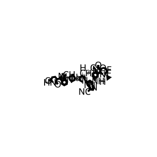 C[C@@H]1CN(c2cc(Nc3ccc4c(c3)c3c(c(=O)n4C)OCC(F)(F)[C@H](C4CC4)N3)n3ncc(C#N)c3n2)CC[C@@H]1CN1CCN(c2cccc3c(C4CCC(=O)NC4=O)nn(C)c23)CC1